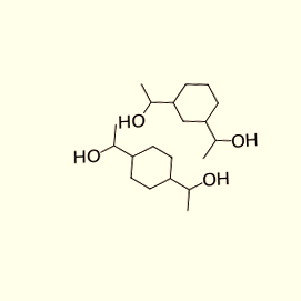 CC(O)C1CCC(C(C)O)CC1.CC(O)C1CCCC(C(C)O)C1